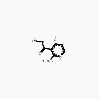 CCNC(=O)c1cccnc1C(=O)[O-].[Li+]